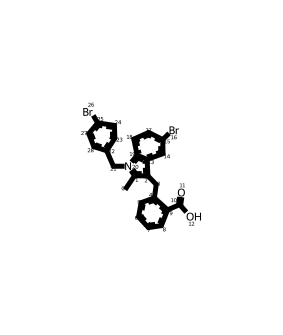 Cc1c(Cc2ccccc2C(=O)O)c2cc(Br)ccc2n1Cc1ccc(Br)cc1